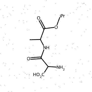 CC(C)OC(=O)C(C)NC(=O)C(N)C(=O)O